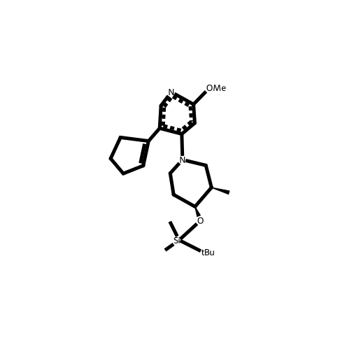 COc1cc(N2CC[C@H](O[Si](C)(C)C(C)(C)C)[C@H](C)C2)c(C2=CCCC2)cn1